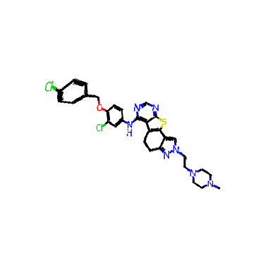 CN1CCN(CCn2cc3c(n2)CCc2c-3sc3ncnc(Nc4ccc(OCc5ccc(Cl)cc5)c(Cl)c4)c23)CC1